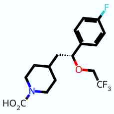 O=C(O)N1CCC(C[C@@H](OCC(F)(F)F)c2ccc(F)cc2)CC1